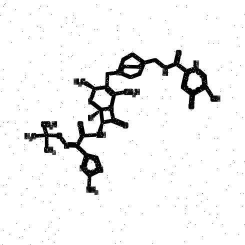 C[C@@H]1S[C@@H]2[C@H](NC(=O)/C(=N\OC(C)(C)C(=O)O)c3csc(N)n3)C(=O)N2C(C(=O)O)=C1C[N+]12CCC(CNC(=O)c3cc(=O)c(O)c[nH]3)(CC1)CC2